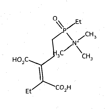 CC/C(C(=O)O)=C(/CCP(=O)(CC)[N+](C)(C)C)C(=O)O